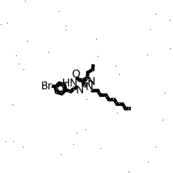 CCCCCCCCCCn1nc(CCC)c2c(=O)[nH]c(Cc3ccc(Br)cc3)nc21